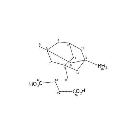 CC12CC3CC(C)(C1)CC(N)(C3)C2.O=C(O)CCC(=O)O